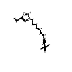 CCc1cn(CCCCCCCC#CC(C)(C)C)nn1